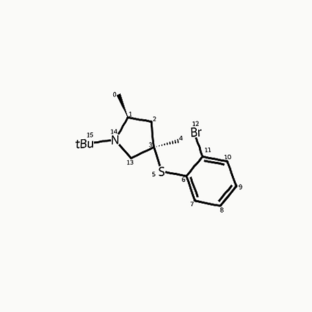 C[C@H]1C[C@@](C)(Sc2ccccc2Br)CN1C(C)(C)C